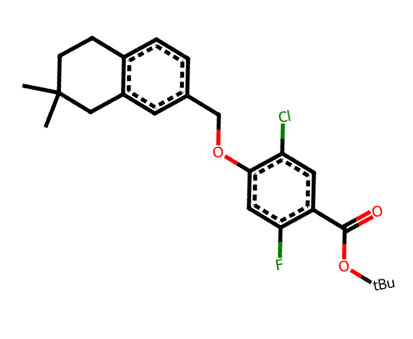 CC1(C)CCc2ccc(COc3cc(F)c(C(=O)OC(C)(C)C)cc3Cl)cc2C1